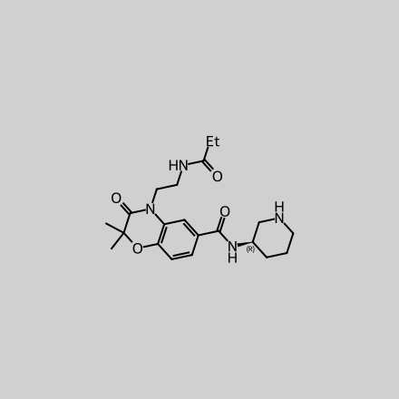 CCC(=O)NCCN1C(=O)C(C)(C)Oc2ccc(C(=O)N[C@@H]3CCCNC3)cc21